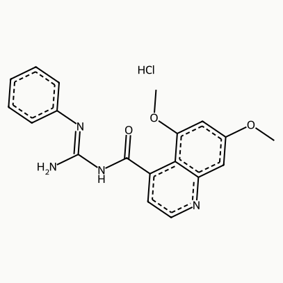 COc1cc(OC)c2c(C(=O)NC(N)=Nc3ccccc3)ccnc2c1.Cl